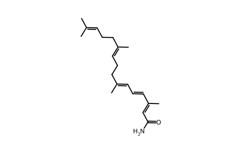 CC(C)=CCCC(C)=CCCC(C)=CC=CC(C)=CC(N)=O